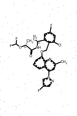 Cc1cc(-n2cc(F)cn2)c2cccc(OCc3c(Cl)cc(F)cc3[C@H](C)NC(=O)[C@@H](C)OC(F)F)c2n1